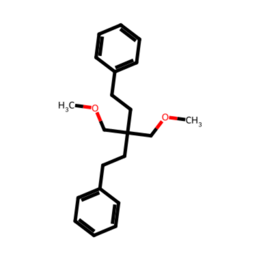 COCC(CCc1ccccc1)(CCc1ccccc1)COC